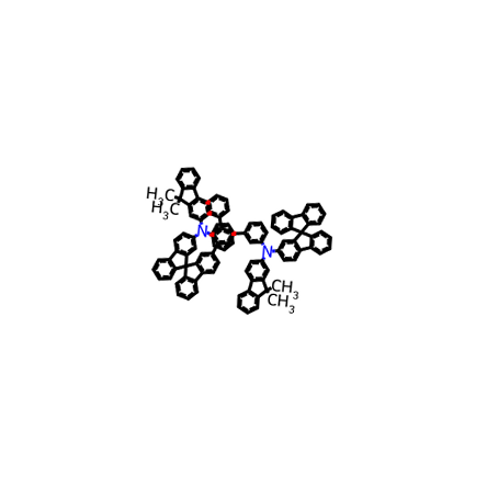 CC1(C)c2ccccc2-c2ccc(N(c3cccc(-c4cccc(-c5ccc6c(c5)C5(c7ccccc7-6)c6ccccc6-c6ccc(N(c7ccc8c(c7)C(C)(C)c7ccccc7-8)c7ccccc7-c7ccccc7)cc65)c4)c3)c3ccc4c(c3)C3(c5ccccc5-c5ccccc53)c3ccccc3-4)cc21